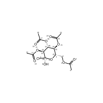 CC(=O)OC[C@@H]1O[C@@](O)(Cl)[C@@H](OC(C)=O)[C@H](OC(C)=O)[C@H]1OC(C)=O